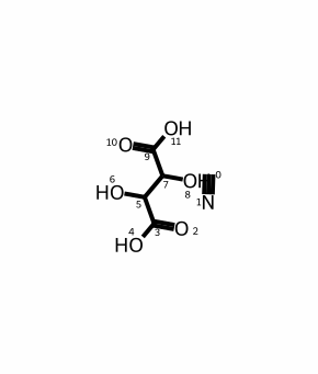 C#N.O=C(O)C(O)C(O)C(=O)O